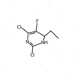 CCC1NC(Cl)=NC(Cl)=C1F